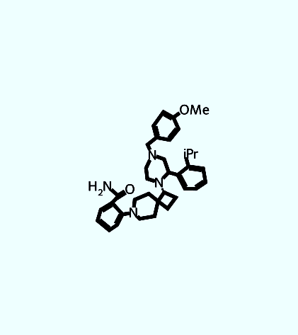 COc1ccc(CN2CCN([C@@H]3CCC34CCN(c3ccccc3C(N)=O)CC4)C(c3ccccc3C(C)C)C2)cc1